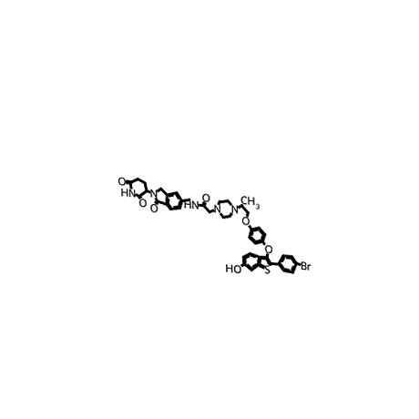 CC(COc1ccc(Oc2c(-c3ccc(Br)cc3)sc3cc(O)ccc23)cc1)N1CCN(CC(=O)NCc2ccc3c(c2)CN(C2CCC(=O)NC2=O)C3=O)CC1